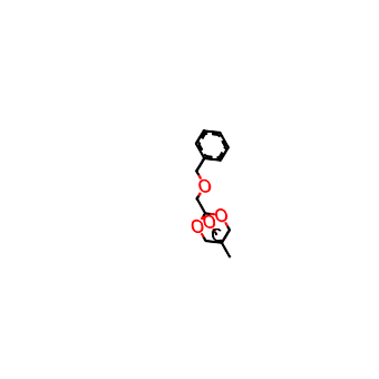 CC12COC(COCc3ccccc3)(OC1)OC2